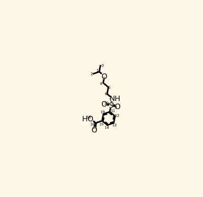 CC(C)OCCCNS(=O)(=O)c1cccc(C(=O)O)c1